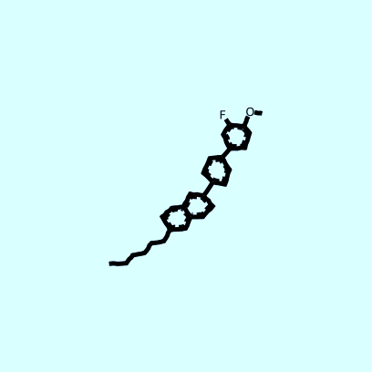 CCCCCCc1ccc2cc(-c3ccc(-c4ccc(OC)c(F)c4)cc3)ccc2c1